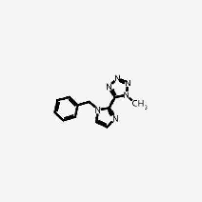 Cn1nnnc1-c1nccn1Cc1ccccc1